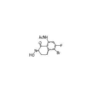 CC(=O)Nc1cc(F)c(Br)c2c1C(=O)/C(=N/O)CC2